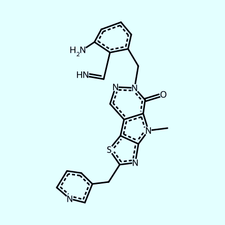 Cn1c2nc(Cc3cccnc3)sc2c2cnn(Cc3cccc(N)c3C=N)c(=O)c21